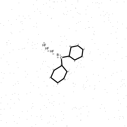 C1CCC(OC2CCCCC2)CC1.F.F.F.[B]